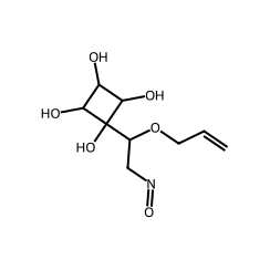 C=CCOC(CN=O)C1(O)C(O)C(O)C1O